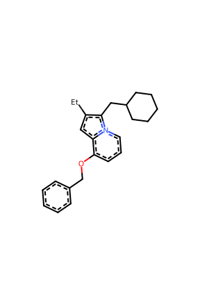 CCc1cc2c(OCc3ccccc3)cccn2c1CC1CCCCC1